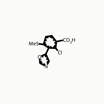 CSc1ccc(C(=O)O)c(Cl)c1-c1cnco1